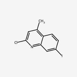 Cc1cc(Cl)nc2cc(I)ccc12